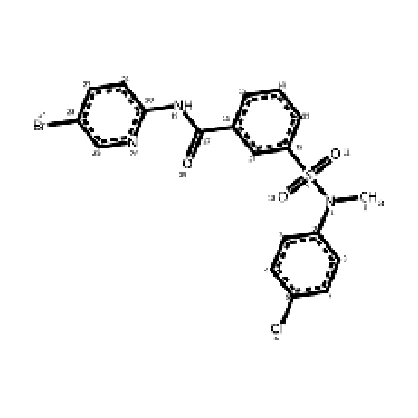 CN(c1ccc(Cl)cc1)S(=O)(=O)c1cccc(C(=O)Nc2ccc(Br)cn2)c1